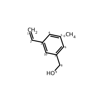 C.C=Cc1cccc(CO)c1